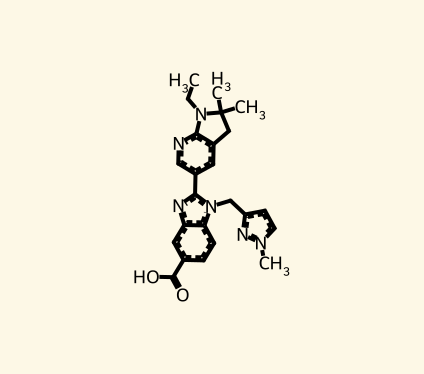 CCN1c2ncc(-c3nc4cc(C(=O)O)ccc4n3Cc3ccn(C)n3)cc2CC1(C)C